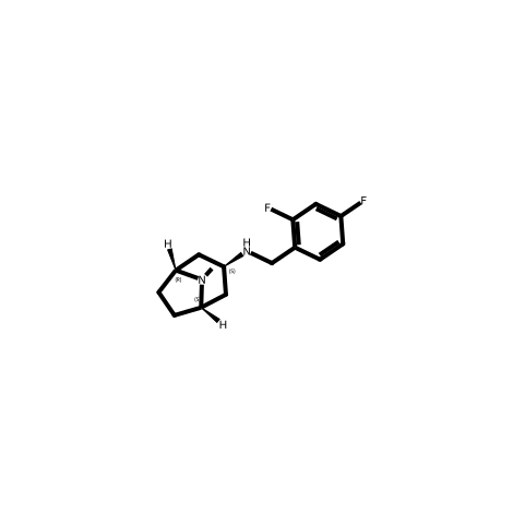 CN1[C@@H]2CC[C@H]1C[C@H](NCc1ccc(F)cc1F)C2